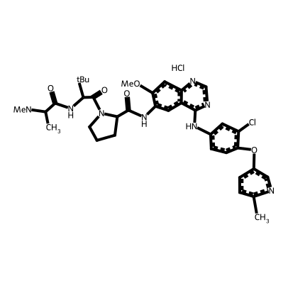 CNC(C)C(=O)NC(C(=O)N1CCCC1C(=O)Nc1cc2c(Nc3ccc(Oc4ccc(C)nc4)c(Cl)c3)ncnc2cc1OC)C(C)(C)C.Cl